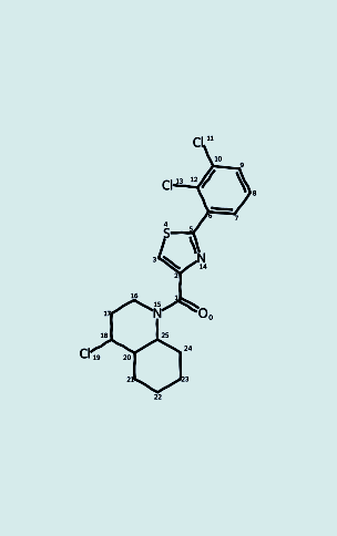 O=C(c1csc(-c2cccc(Cl)c2Cl)n1)N1CCC(Cl)C2CCCCC21